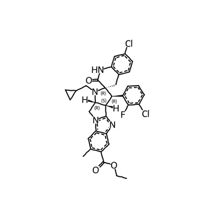 CCOC(=O)c1cc2nc3n(c2cc1C)C[C@H]1[C@@H]3[C@H](c2cccc(Cl)c2F)[C@@]2(Cc3ccc(Cl)cc3NC2=O)N1CC1CC1